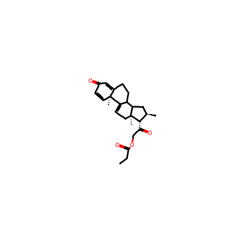 CCC(=O)OCC(=O)[C@H]1[C@H](C)CC2C3CCC4=CC(=O)C=C[C@]4(C)C3=CC[C@@]21C